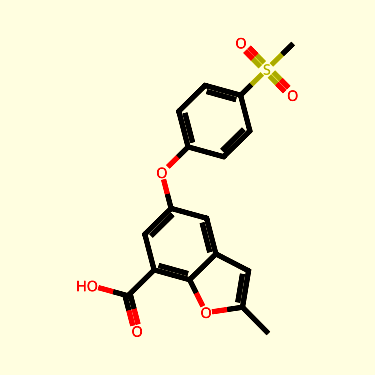 Cc1cc2cc(Oc3ccc(S(C)(=O)=O)cc3)cc(C(=O)O)c2o1